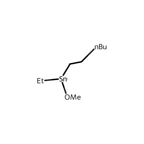 CCCCC[CH2][Sn]([CH2]C)[O]C